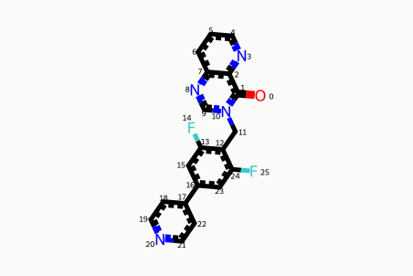 O=c1c2ncccc2ncn1Cc1c(F)cc(-c2ccncc2)cc1F